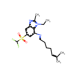 CCn1c(C)nc2cc(S(=O)(=O)C(F)F)cc(N=CCCCC=C(C)C)c21